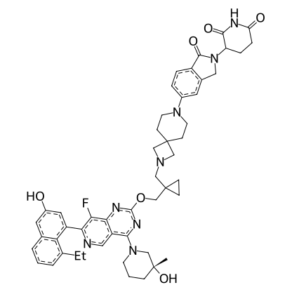 CCc1cccc2cc(O)cc(-c3ncc4c(N5CCC[C@@](C)(O)C5)nc(OCC5(CN6CC7(CCN(c8ccc9c(c8)CN(C8CCC(=O)NC8=O)C9=O)CC7)C6)CC5)nc4c3F)c12